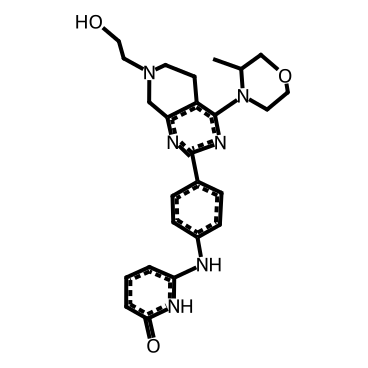 CC1COCCN1c1nc(-c2ccc(Nc3cccc(=O)[nH]3)cc2)nc2c1CCN(CCO)C2